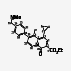 CCOC(=O)c1cc(C2CC2)c2c(C)c(-c3ccc(CNC)cc3)ccn2c1=O